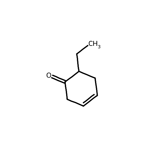 CCC1CC=CCC1=O